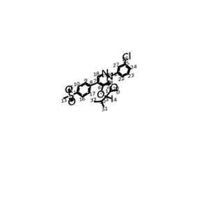 CC(C)C(I)(Oc1c(-c2ccc(S(C)(=O)=O)cc2)cnn(-c2cccc(Cl)c2)c1=O)C(C)C